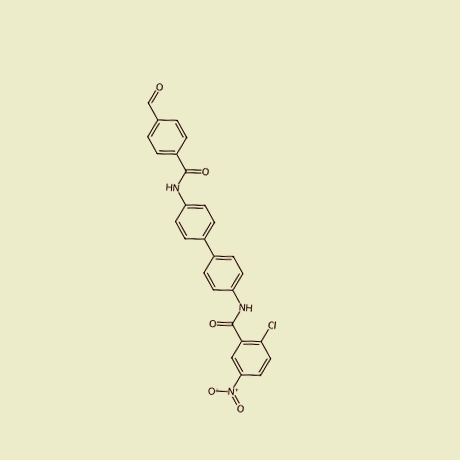 O=Cc1ccc(C(=O)Nc2ccc(-c3ccc(NC(=O)c4cc([N+](=O)[O-])ccc4Cl)cc3)cc2)cc1